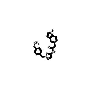 Cn1ccc2cc(CC(=O)Nc3cnn(Cc4ccc(OC(F)(F)F)cc4)n3)ccc21